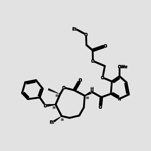 CCOCC(=O)OCOc1c(OC)ccnc1C(=O)N[C@H]1CCC[C@H](CC)[C@@H](Oc2ccccc2)[C@H](C)OC1=O